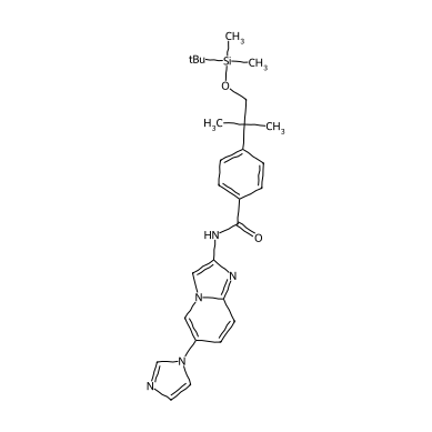 CC(C)(CO[Si](C)(C)C(C)(C)C)c1ccc(C(=O)Nc2cn3cc(-n4ccnc4)ccc3n2)cc1